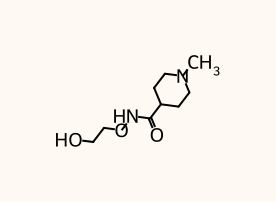 CN1CCC(C(=O)NOCCO)CC1